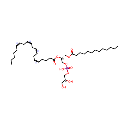 CCCCC/C=C\C/C=C\C/C=C\C/C=C\CCCC(=O)O[C@H](COC(=O)CCCCCCCCCCCC)COP(=O)(O)OC[C@@H](O)CO